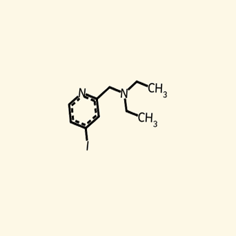 CCN(CC)Cc1cc(I)ccn1